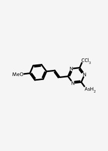 COc1ccc(C=Cc2nc([AsH2])nc(C(Cl)(Cl)Cl)n2)cc1